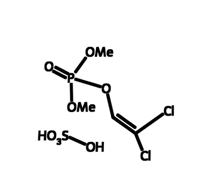 COP(=O)(OC)OC=C(Cl)Cl.O=S(=O)(O)O